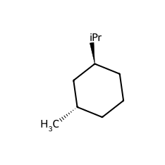 CC(C)[C@H]1CCC[C@H](C)C1